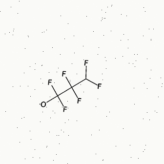 [O]C(F)(F)C(F)(F)C(F)F